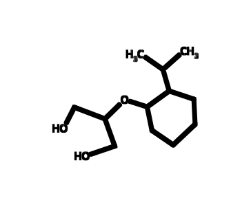 CC(C)C1CCCCC1OC(CO)CO